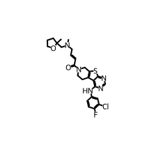 CN(C/C=C/C(=O)N1CCc2c(sc3ncnc(Nc4ccc(F)c(Cl)c4)c23)C1)CC1(C)CCCO1